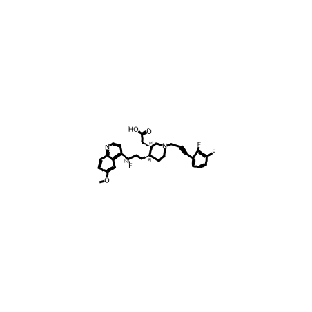 COc1ccc2nccc([C@@H](F)CC[C@@H]3CCN(CC#Cc4cccc(F)c4F)C[C@@H]3CC(=O)O)c2c1